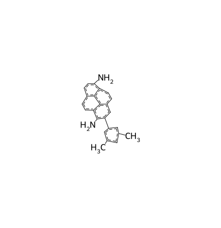 Cc1cc(C)cc(-c2cc3ccc4c(N)ccc5ccc(c2N)c3c54)c1